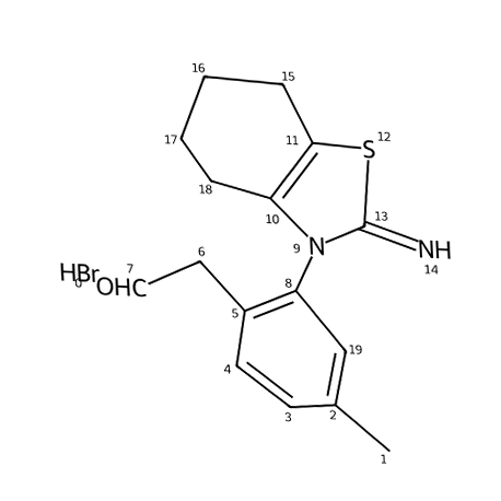 Br.Cc1ccc(CC=O)c(-n2c3c(sc2=N)CCCC3)c1